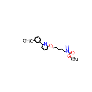 CC(C)(C)OC(=O)NCCCCCOc1cccc(-c2cccc(C=O)c2)n1